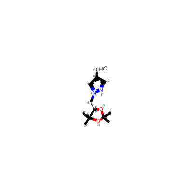 CC1(C)O[C@@H](Cn2cc(C=O)cn2)C(C)(C)O1